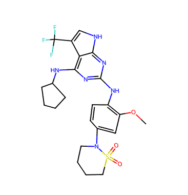 COc1cc(N2CCCCS2(=O)=O)ccc1Nc1nc(NC2CCCC2)c2c(C(F)(F)F)c[nH]c2n1